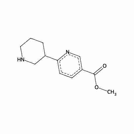 COC(=O)c1ccc(C2CCCNC2)nc1